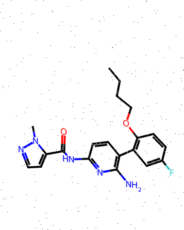 CCCCOc1ccc(F)cc1-c1ccc(NC(=O)c2ccnn2C)nc1N